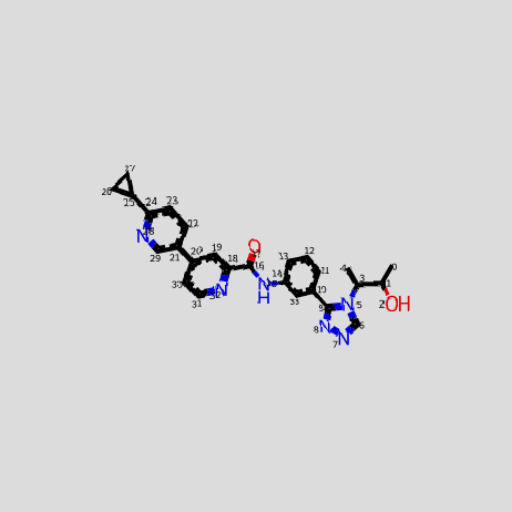 CC(O)C(C)n1cnnc1-c1cccc(NC(=O)c2cc(-c3ccc(C4CC4)nc3)ccn2)c1